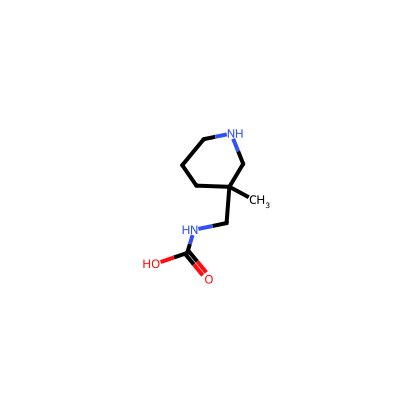 CC1(CNC(=O)O)CCCNC1